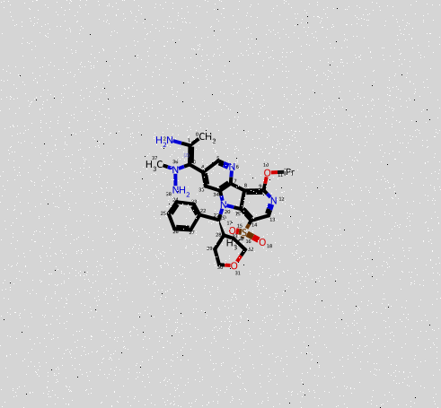 C/C(N)=C(\c1cnc2c3c(OC(C)C)ncc(S(C)(=O)=O)c3n([C@H](c3ccccc3)C3CCOCC3)c2c1)N(C)N